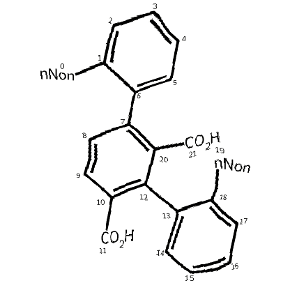 CCCCCCCCCc1ccccc1-c1ccc(C(=O)O)c(-c2ccccc2CCCCCCCCC)c1C(=O)O